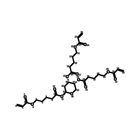 C=CC(=O)OCCCCC(=O)O[C@H]1C[C@H](OC(=O)CCCCOC(=O)C=C)[C@H](OC(=O)CCCCOC(=O)C=C)CO1